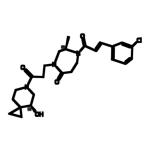 C[C@@H]1CN(CCC(=O)N2CCC3(CC3)[C@H](O)C2)C(=O)CCN1C(=O)C=Cc1cccc(Cl)c1